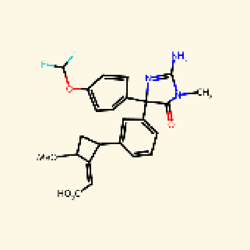 COC1CC(c2cccc(C3(c4ccc(OC(F)F)cc4)N=C(N)N(C)C3=O)c2)C1=CC(=O)O